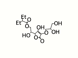 CCC(CC)C(=O)OCC(O)C1OC(=O)C(OCC(O)CO)=C1O